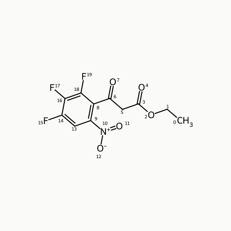 CCOC(=O)CC(=O)c1c([N+](=O)[O-])cc(F)c(F)c1F